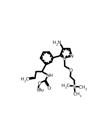 C=CCC(NC(=O)OC(C)(C)C)c1cccc(-c2c(N)cnn2COCC[Si](C)(C)C)c1